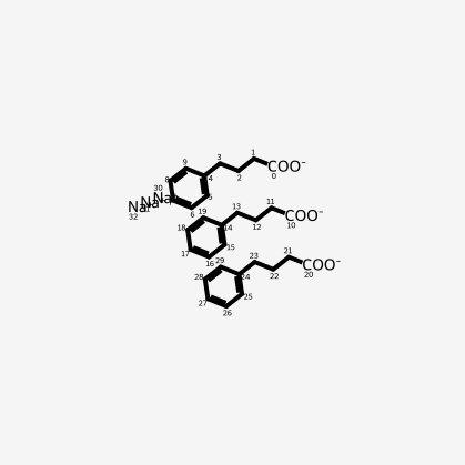 O=C([O-])CCCc1ccccc1.O=C([O-])CCCc1ccccc1.O=C([O-])CCCc1ccccc1.[Na+].[Na+].[Na+]